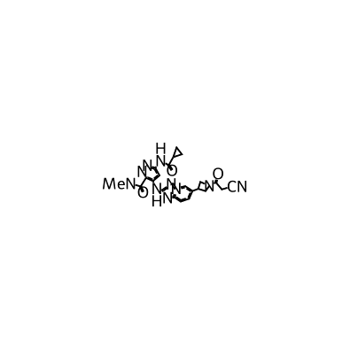 CNC(=O)c1nnc(NC(=O)C2CC2)cc1Nc1nc2ccc(C3CN(C(=O)CC#N)C3)cn2n1